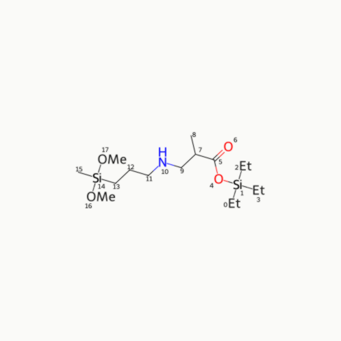 CC[Si](CC)(CC)OC(=O)C(C)CNCCC[Si](C)(OC)OC